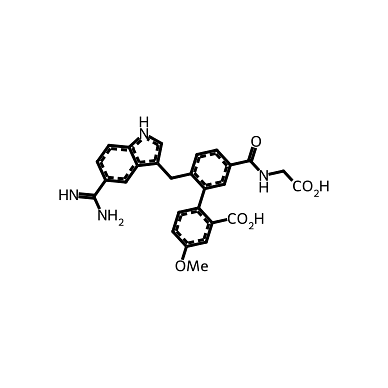 COc1ccc(-c2cc(C(=O)NCC(=O)O)ccc2Cc2c[nH]c3ccc(C(=N)N)cc23)c(C(=O)O)c1